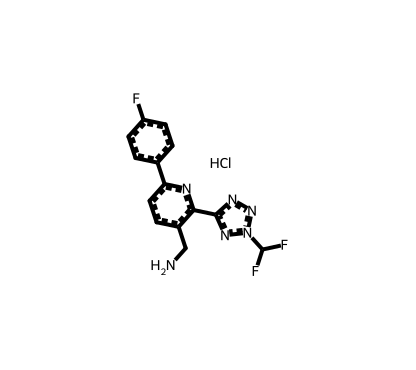 Cl.NCc1ccc(-c2ccc(F)cc2)nc1-c1nnn(C(F)F)n1